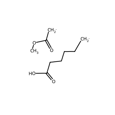 [CH2]C(=O)OC.[CH2]CCCCC(=O)O